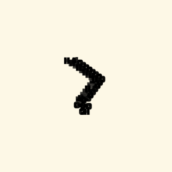 O.O.O.O.O.O.O.O.O.O.O.O.O.O.O=S(=O)(O)O.[AlH3]